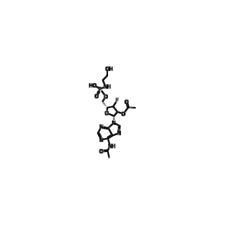 CC(=O)Nc1ncnc2c1ncn2[C@@H]1O[C@H](COP(=O)(O)NCCO)C(F)C1OC(C)=O